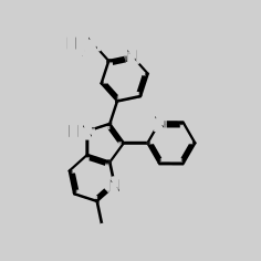 Cc1ccc2[nH]c(-c3ccnc(N)c3)c(-c3ccccn3)c2n1